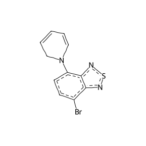 Brc1ccc(N2C=CC=CC2)c2nsnc12